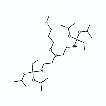 CCC(OC(C)C)(OC(C)C)PCCN(CCPC(CC)(OC(C)C)OC(C)C)OCCCOC